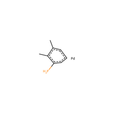 Cc1cccc(P)c1C.[Pd]